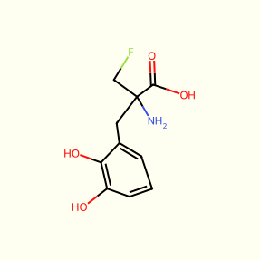 NC(CF)(Cc1cccc(O)c1O)C(=O)O